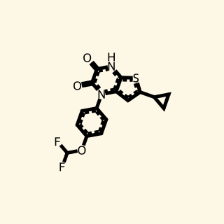 O=c1[nH]c2sc(C3CC3)cc2n(-c2ccc(OC(F)F)cc2)c1=O